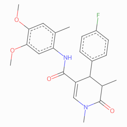 COc1cc(C)c(NC(=O)C2=CN(C)C(=O)C(C)C2c2ccc(F)cc2)cc1OC